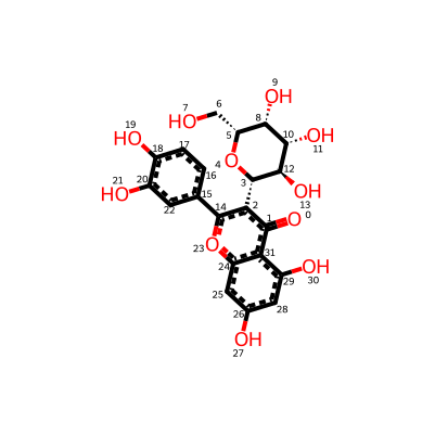 O=c1c([C@@H]2O[C@H](CO)[C@H](O)[C@H](O)[C@H]2O)c(-c2ccc(O)c(O)c2)oc2cc(O)cc(O)c12